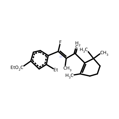 C=C(C1=C(C)CCCC1(C)C)/C(C)=C(\F)c1ccc(C(=O)OCC)cc1CC